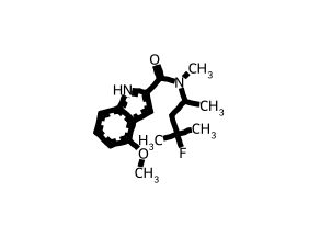 COc1cccc2[nH]c(C(=O)N(C)C(C)CC(C)(C)F)cc12